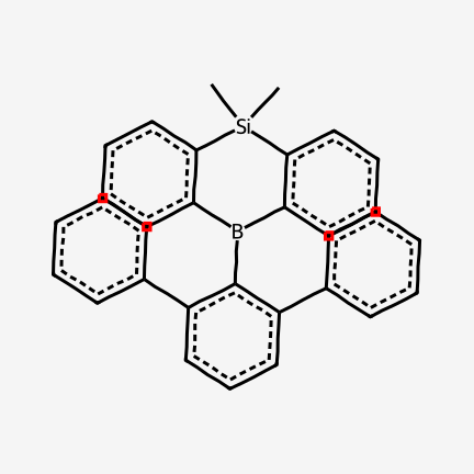 C[Si]1(C)c2ccccc2B(c2c(-c3ccccc3)cccc2-c2ccccc2)c2ccccc21